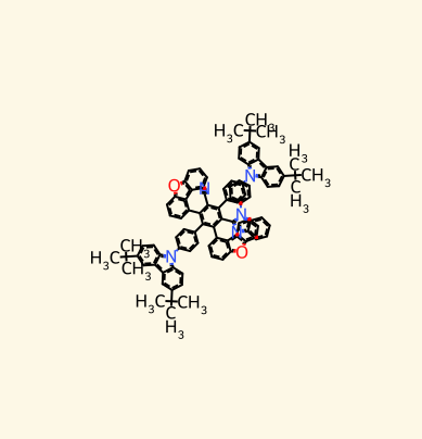 CC(C)(C)c1ccc2c(c1)c1cc(C(C)(C)C)ccc1n2-c1ccc(-c2c(C#N)c(-c3cccc4oc5ccccc5c34)c(-c3ccc(-n4c5ccc(C(C)(C)C)cc5c5cc(C(C)(C)C)ccc54)cc3)c(-c3cccc4oc5ccccc5c34)c2-c2nc3ccccc3n2-c2ccccc2)cc1